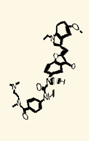 CCn1cc(/C=C2\Oc3ccc(NC(=O)Nc4ccc(C(=O)N(C)CCN(C)C)cc4)cc3C2=O)c2cc(OC)ccc21